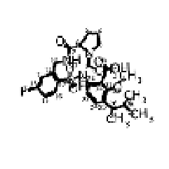 CCN1CCC[C@@H]1C(=O)NCc1cc(F)ccc1S(=O)(=O)Nc1ccc(C(C)C(C)C)c(OC)c1C(=O)O